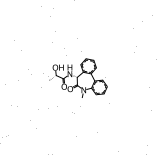 C[C@H](O)C(=O)N[C@H]1C(=O)N(C)c2ccccc2-c2ccccc21